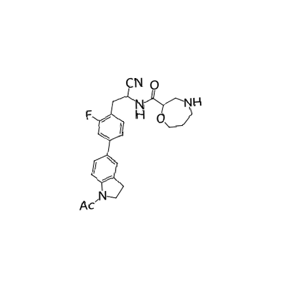 CC(=O)N1CCc2cc(-c3ccc(CC(C#N)NC(=O)C4CNCCCO4)c(F)c3)ccc21